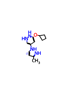 CC(=N)/C=C\NC1=CNNC(OC2CCC2)=C1